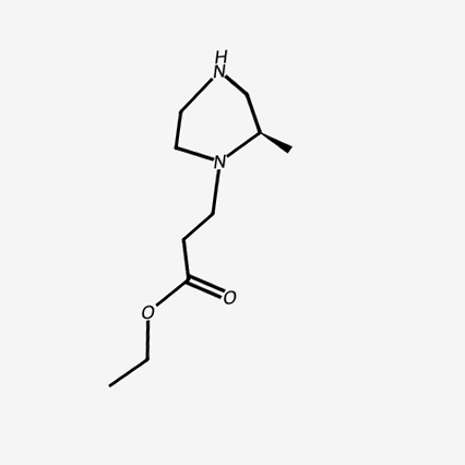 CCOC(=O)CCN1CCNC[C@H]1C